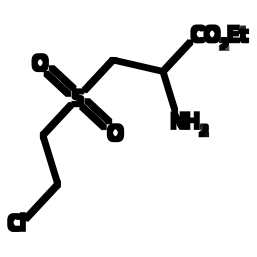 CCOC(=O)C(N)CS(=O)(=O)CCCl